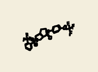 O=C1C2CN(S(=O)(=O)c3ccccc3C(F)(F)F)CC2CCN1c1ccc(OCC(F)(F)F)cc1